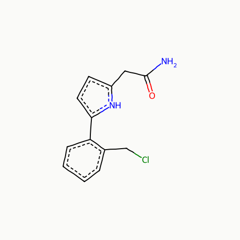 NC(=O)Cc1ccc(-c2ccccc2CCl)[nH]1